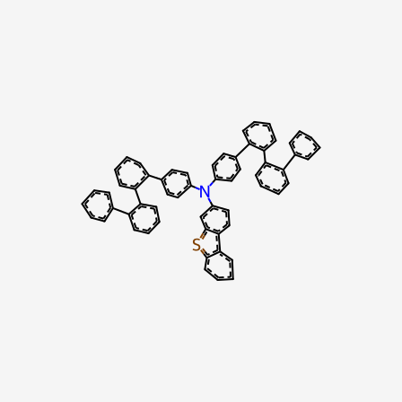 c1ccc(-c2ccccc2-c2ccccc2-c2ccc(N(c3ccc(-c4ccccc4-c4ccccc4-c4ccccc4)cc3)c3ccc4c(c3)sc3ccccc34)cc2)cc1